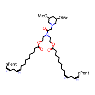 CCCCC/C=C\C/C=C\CCCCCCCC(=O)OCCN(CCOC(=O)CCCCCCC/C=C\C/C=C\CCCCC)C(=O)CN1CC(OC)CC(OC)C1